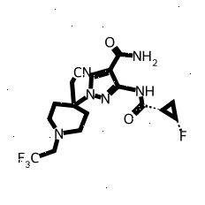 N#CCC1(n2cc(C(N)=O)c(NC(=O)[C@@H]3C[C@@H]3F)n2)CCN(CC(F)(F)F)CC1